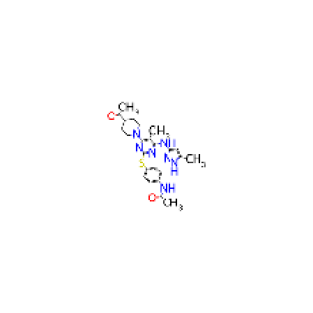 CC(=O)Nc1ccc(Sc2nc(Nc3cc(C)[nH]n3)c(C)c(N3CCC(C(C)=O)CC3)n2)cc1